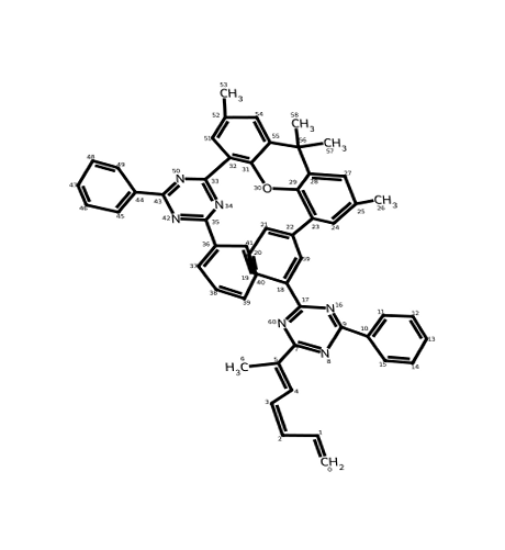 C=C/C=C\C=C(/C)c1nc(-c2ccccc2)nc(-c2cccc(-c3cc(C)cc4c3Oc3c(-c5nc(-c6ccccc6)nc(-c6ccccc6)n5)cc(C)cc3C4(C)C)c2)n1